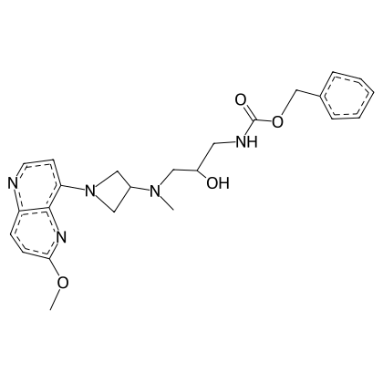 COc1ccc2nccc(N3CC(N(C)CC(O)CNC(=O)OCc4ccccc4)C3)c2n1